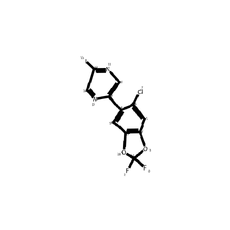 FC1(F)Oc2cc(Cl)c(-c3cnc(I)cn3)cc2O1